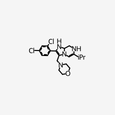 CC(C)C1=CN2C(CN3CCOCC3)=C(c3ccc(Cl)cc3Cl)NC2CN1